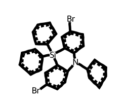 Brc1ccc2c(c1)[Si](c1ccccc1)(c1ccccc1)c1cc(Br)ccc1N2c1ccccc1